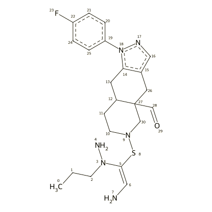 CCCN(N)/C(=C\N)SN1CCC2Cc3c(cnn3-c3ccc(F)cc3)CC2(C=O)C1